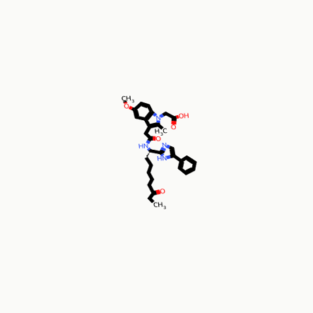 CCC(=O)CCCCC[C@H](NC(=O)Cc1c(C)n(CC(=O)O)c2ccc(OC)cc12)c1ncc(-c2ccccc2)[nH]1